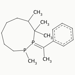 CC(c1ccccc1)=[P]1P(C)CCCCCC(C)C1(C)C